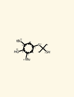 CC(C)(S)Sc1cc(C(C)(C)C)c(O)c(C(C)(C)C)c1